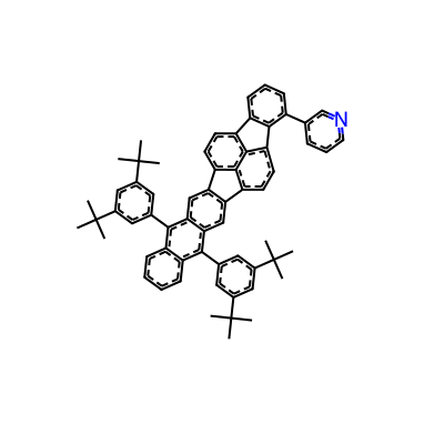 CC(C)(C)c1cc(-c2c3ccccc3c(-c3cc(C(C)(C)C)cc(C(C)(C)C)c3)c3cc4c(cc23)-c2ccc3c5c(ccc-4c25)-c2c(-c4cccnc4)cccc2-3)cc(C(C)(C)C)c1